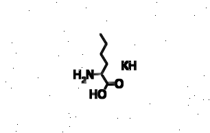 CCCCC(N)C(=O)O.[KH]